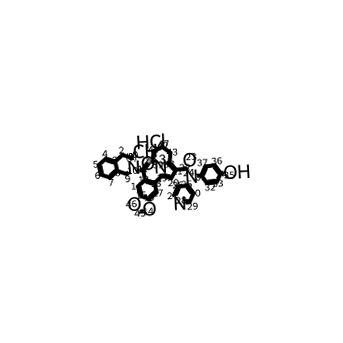 C[C@@H]1Cc2ccccc2CN1C(=O)c1cc2c(cc1-c1cc(C(=O)N(c3ccncc3)c3ccc(O)cc3)c3n1CCCC3)OCO2.Cl